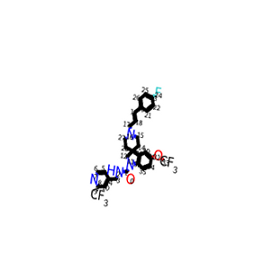 O=C(NCc1ccnc(C(F)(F)F)c1)N1CC2(CCN(C/C=C/c3ccc(F)cc3)CC2)c2cc(OC(F)(F)F)ccc21